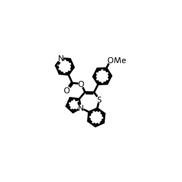 COc1ccc(C2=C(OC(=O)c3ccncc3)c3cccn3-c3ccccc3S2)cc1